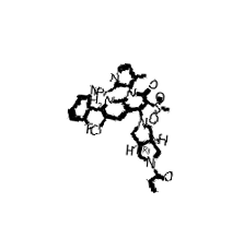 C=CC(=O)N1C[C@@H]2CN(c3c(S(C)(=O)=O)c(=O)n(-c4c(C)ccnc4C(C)C)c4nc(-c5c(N)cccc5F)c(Cl)cc34)C[C@@H]2C1